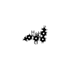 CC(C)(C)c1ccc(Nc2cc(Cl)cc(Nc3ccccc3-c3ccc(C(C)(C)C)cc3)c2Br)cc1